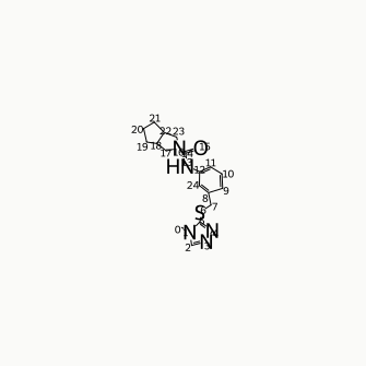 Cn1cnnc1SCc1cccc(NC(=O)N2CC3CCCC3C2)c1